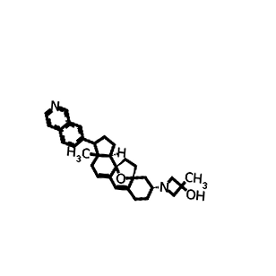 CC1(O)CN([C@@H]2CCC3=CC4=CCC5(C)C(c6ccc7ccncc7c6)CC[C@H]5[C@@]45CC[C@]3(C2)O5)C1